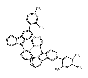 CC1=CC(C)C(C)C=C1c1ccc2c(c1)c1ccccc1n2-c1cnccc1-c1cc(C#N)ccc1-n1c2ccccc2c2cc(-c3ccc(C)cc3C)ccc21